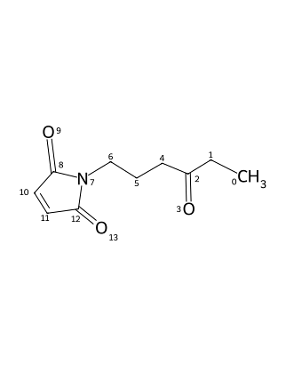 CCC(=O)CCCN1C(=O)C=CC1=O